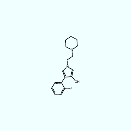 Oc1nn(CCN2CCCCC2)cc1-c1ccccc1F